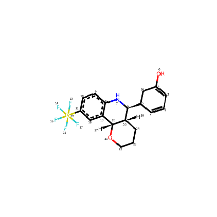 OC1=CC=CC([C@@H]2Nc3ccc(S(F)(F)(F)(F)F)cc3[C@H]3OCCC[C@H]32)C1